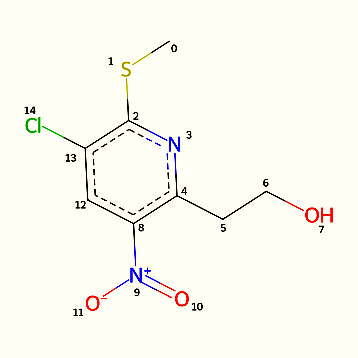 CSc1nc(CCO)c([N+](=O)[O-])cc1Cl